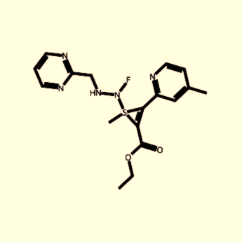 CCOC(=O)C1=C(c2cc(C)ccn2)S1(C)N(F)NCc1ncccn1